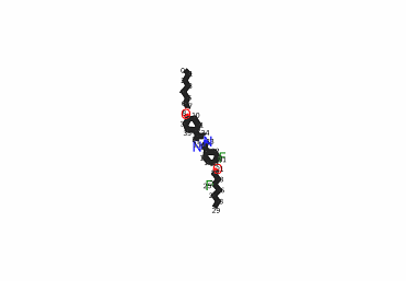 CCCCCCCCOc1ccc(-c2cnc(-c3ccc(OCCC(F)CCCC)c(F)c3)nc2)cc1